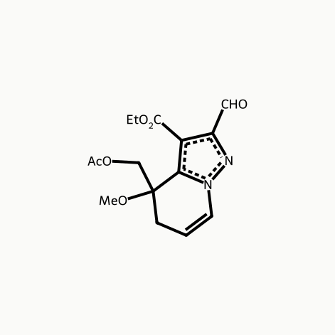 CCOC(=O)c1c(C=O)nn2c1C(COC(C)=O)(OC)CC=C2